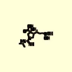 CC(C)NC(=N)N1CC(CCCB(O)O)C(N)(C(=O)O)C1